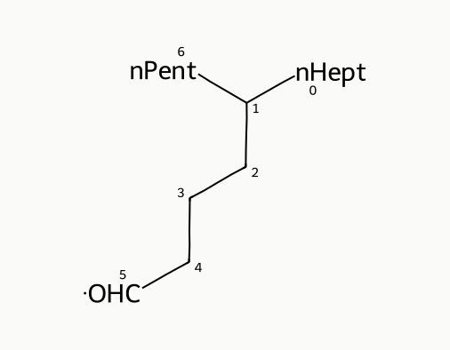 CCCCCCCC(CCC[C]=O)CCCCC